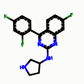 Fc1ccc(-c2nc(NC3CCNC3)nc3cc(F)ccc23)c(F)c1